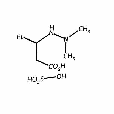 CCC(CC(=O)O)NN(C)C.O=S(=O)(O)O